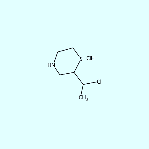 CC(Cl)C1CNCCS1.Cl